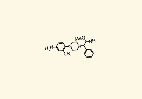 COC(=N)C(c1ccccc1)N1CCN(c2ccc(N)cc2C#N)CC1